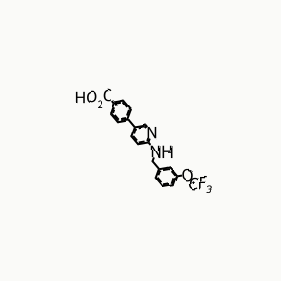 O=C(O)c1ccc(-c2ccc(NCc3cccc(OC(F)(F)F)c3)nc2)cc1